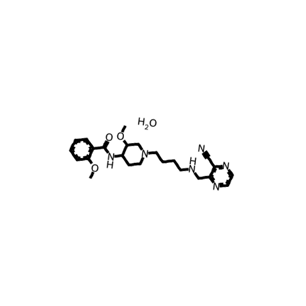 COc1ccccc1C(=O)NC1CCN(CCCCNCc2nccnc2C#N)CC1OC.O